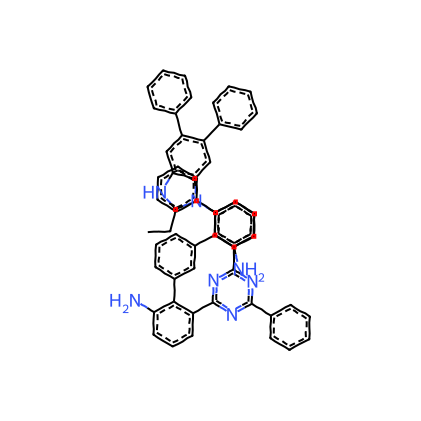 CCC1Nc2cc(-c3ccccc3)c(-c3ccccc3)cc2N1c1cccc(N)c1-c1cccc(-c2c(N)cccc2-c2nc(-c3ccccc3)nc(-c3cccc(-c4ccccc4)c3)n2)c1